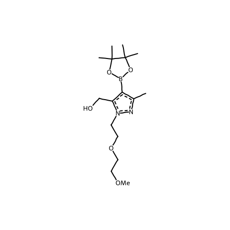 COCCOCCn1nc(C)c(B2OC(C)(C)C(C)(C)O2)c1CO